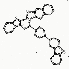 c1ccc2cc3c(cc2c1)nc1c2sc4ccccc4c2cc(-c2ccc(-c4ccc5sc6ccccc6c5c4)cc2)n31